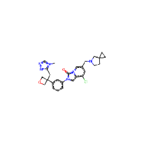 Cn1cnnc1CC1(c2cccc(-n3cc4c(Cl)cc(CN5CCC6(CC6)C5)cn4c3=O)c2)COC1